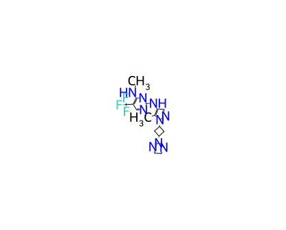 CCNc1nc(Nc2cnn([C@H]3C[C@@H](n4nccn4)C3)c2C)ncc1C(F)(F)F